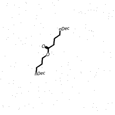 [CH2]CCCCCCCCCCCCOC(=O)CCCCCCCCCCCCC